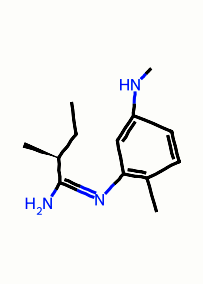 CC[C@H](C)/C(N)=N\c1cc(NC)ccc1C